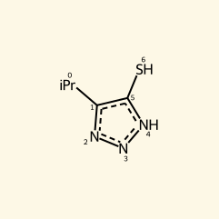 CC(C)c1nn[nH]c1S